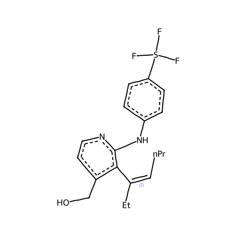 CCC/C=C(/CC)c1c(CO)ccnc1Nc1ccc(S(F)(F)F)cc1